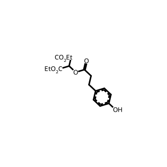 CCOC(=O)C(OC(=O)CCc1ccc(O)cc1)C(=O)OCC